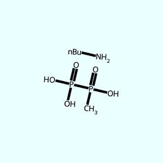 CCCCN.CP(=O)(O)P(=O)(O)O